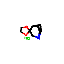 C1COC2(CN3CCC2CC3)O1.Cl